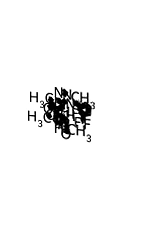 COC1(c2cc3c(N[C@H](C)c4cccc(C(F)F)c4F)ncnc3n(C)c2=O)C[C@H]2C[C@@H]1CN2C(C)=O